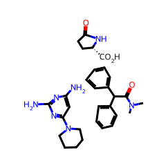 CN(C)C(=O)C(c1ccccc1)c1ccccc1.Nc1cc(N2CCCCC2)nc(N)n1.O=C1CC[C@@H](C(=O)O)N1